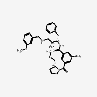 COC[C@H]1CCCN1C(=O)c1cc(C)cc(C(=O)N[C@@H](Cc2ccccc2)[C@H](O)CNCc2cccc(OC)c2)c1